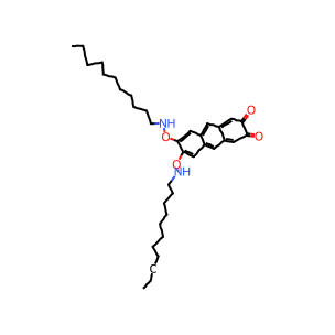 CCCCCCCCCCCNOc1cc2cc3c(cc2cc1ONCCCCCCCCCCC)=CC(=O)C(=O)C=3